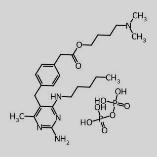 CCCCCNc1nc(N)nc(C)c1Cc1ccc(CC(=O)OCCCCN(C)C)cc1.O=P(O)(O)OP(=O)(O)O